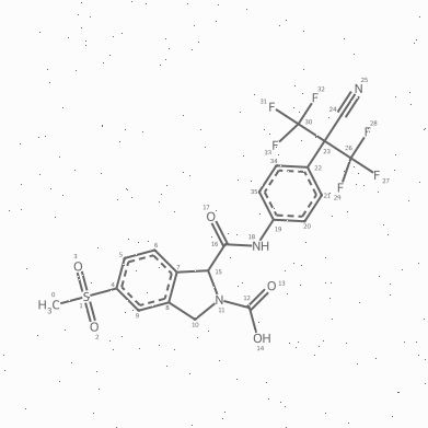 CS(=O)(=O)c1ccc2c(c1)CN(C(=O)O)C2C(=O)Nc1ccc(C(C#N)(C(F)(F)F)C(F)(F)F)cc1